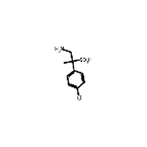 CC(CN)(c1ccc(Cl)cc1)S(=O)(=O)O